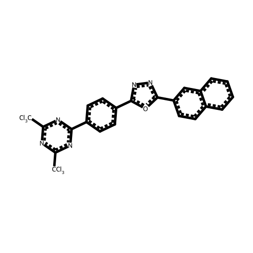 ClC(Cl)(Cl)c1nc(-c2ccc(-c3nnc(-c4ccc5ccccc5c4)o3)cc2)nc(C(Cl)(Cl)Cl)n1